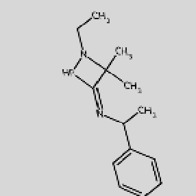 CCN1P/C(=N/C(C)c2ccccc2)C1(C)C